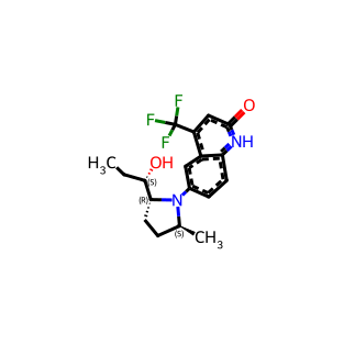 CC[C@H](O)[C@H]1CC[C@H](C)N1c1ccc2[nH]c(=O)cc(C(F)(F)F)c2c1